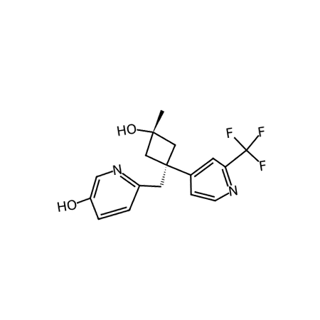 C[C@]1(O)C[C@](Cc2ccc(O)cn2)(c2ccnc(C(F)(F)F)c2)C1